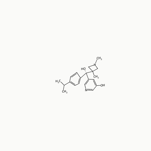 CC(C)c1ccc([C@](O)(c2cncc(O)c2)C2(C)CN(C)C2)cc1